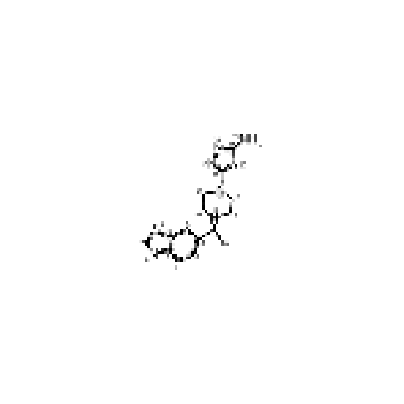 CC(c1ccc2ncsc2c1)N1CCN(c2nnc(N)s2)CC1